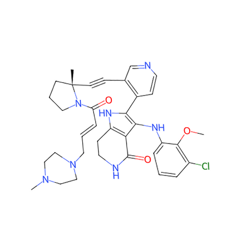 COc1c(Cl)cccc1Nc1c(-c2ccncc2C#C[C@@]2(C)CCCN2C(=O)/C=C/CN2CCN(C)CC2)[nH]c2c1C(=O)NCC2